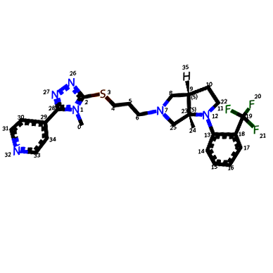 Cn1c(SCCCN2C[C@@H]3CCN(c4ccccc4C(F)(F)F)[C@]3(C)C2)nnc1-c1ccncc1